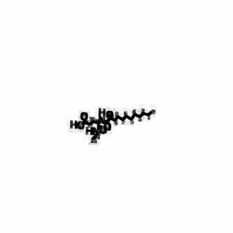 CCCCCCCCCCC(=O)C(=O)NC(CCC(=O)O)C(=O)NCC